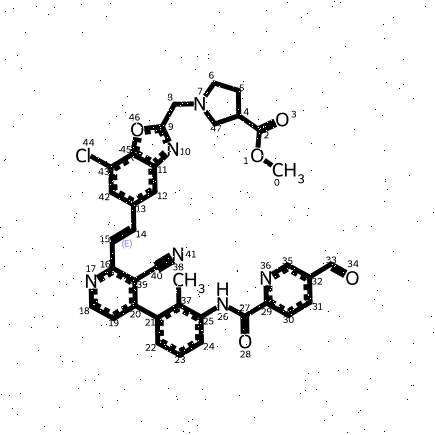 COC(=O)C1CCN(Cc2nc3cc(/C=C/c4nccc(-c5cccc(NC(=O)c6ccc(C=O)cn6)c5C)c4C#N)cc(Cl)c3o2)C1